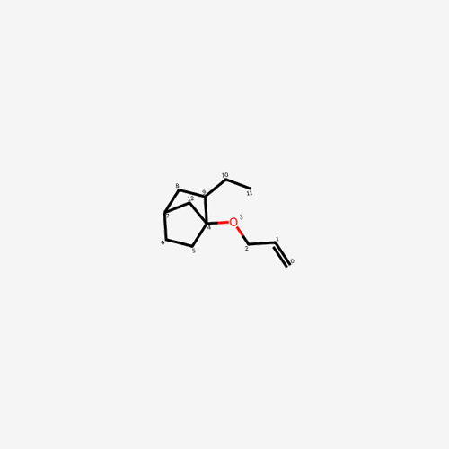 C=CCOC12CCC(CC1CC)C2